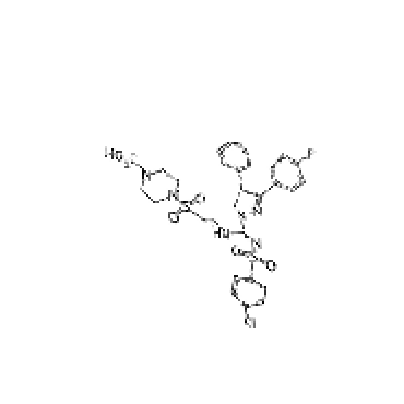 O=C(O)N1CCN(S(=O)(=O)CCN/C(=N\S(=O)(=O)c2ccc(Cl)cc2)N2CC(c3ccccc3)C(c3ccc(F)cc3)=N2)CC1